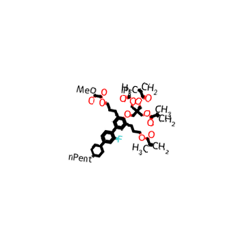 C=C(C)C(=O)OCCCc1cc(-c2ccc(C3CCC(CCCCC)CC3)cc2F)cc(CCCOC(=O)C(=O)OC)c1OCC(COC(=O)C(=C)C)(COC(=O)C(=C)C)COC(=O)C(C)C